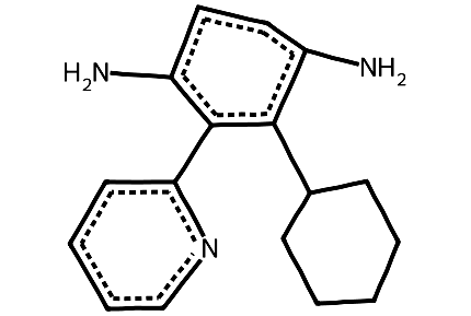 Nc1ccc(N)c(C2CCCCC2)c1-c1ccccn1